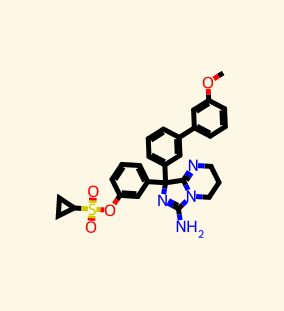 COc1cccc(-c2cccc(C3(c4cccc(OS(=O)(=O)C5CC5)c4)N=C(N)N4CCCN=C43)c2)c1